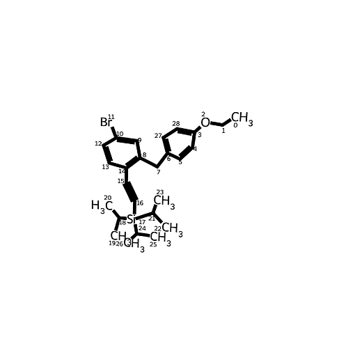 CCOc1ccc(Cc2cc(Br)ccc2C#C[Si](C(C)C)(C(C)C)C(C)C)cc1